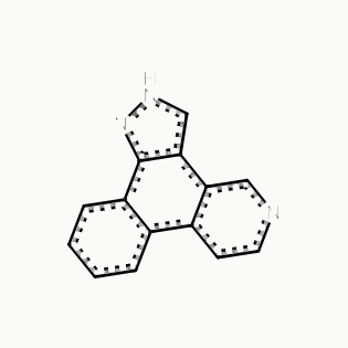 c1ccc2c(c1)c1ccncc1c1c[nH]nc21